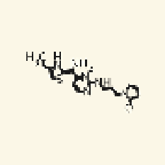 CCC1=CS/C(=C(/N)c2ccnc(NCCCN3CCCC3=O)n2)N1